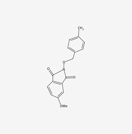 COc1ccc2c(c1)C(=O)N(OCc1ccc(C)cc1)C2=O